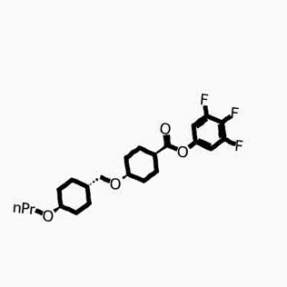 CCCO[C@H]1CC[C@H](CO[C@H]2CC[C@H](C(=O)Oc3cc(F)c(F)c(F)c3)CC2)CC1